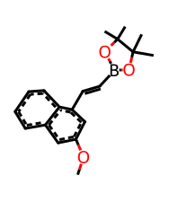 COc1cc(C=CB2OC(C)(C)C(C)(C)O2)c2ccccc2c1